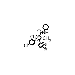 Cc1c(C(=O)NC2CCCCC2)nn(-c2ccc(Cl)cc2Cl)c1-c1ccc(Br)[se]1